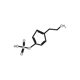 CCCc1ccc(OS(=O)(=O)O)cc1